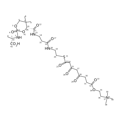 C[C@H](NP1(=O)OCC(C)(C)[C@H](C(=O)NCCC(=O)NCCSC(=O)CC(=O)CC(=O)CCC(=O)OCC[N+](C)(C)C)O1)C(=O)O